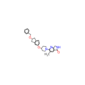 Cc1cc2c(nc1N1CCC(Oc3ccc4c(c3)CC(OCc3ccccc3)C4)CC1)CNC2=O